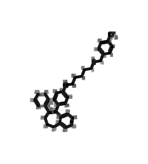 FC(F)(F)c1ccc(CSCCCCCOc2ccc(C3=C(c4ccccc4)CCCc4c[c]ccc43)cc2)cc1